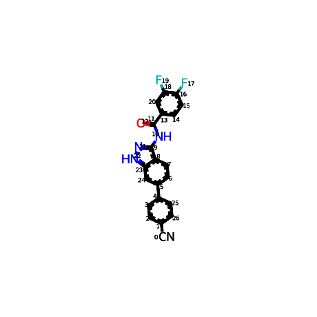 N#Cc1ccc(-c2ccc3c(NC(=O)c4ccc(F)c(F)c4)n[nH]c3c2)cc1